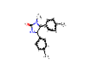 Cc1ccc(C2NC(=O)N(C)C2c2ccc(C)cc2)cc1